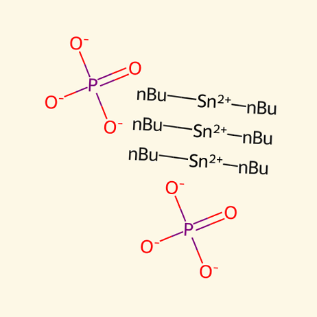 CCC[CH2][Sn+2][CH2]CCC.CCC[CH2][Sn+2][CH2]CCC.CCC[CH2][Sn+2][CH2]CCC.O=P([O-])([O-])[O-].O=P([O-])([O-])[O-]